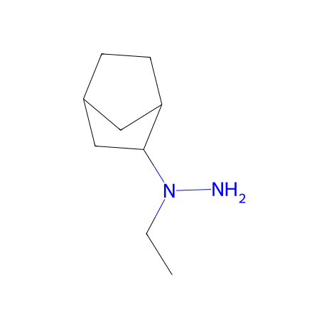 CCN(N)C1CC2CCC1C2